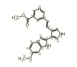 COC(=O)c1cncc(/C=C/c2c[nH]nc2-c2nc3ccc(OC)cc3[nH]2)c1